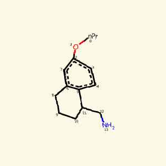 CCCOc1ccc2c(c1)CCCC2CN